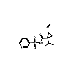 C=C[C@@H]1C[C@@]1(C(=O)NS(=O)(=O)c1cccnc1)C(C)C